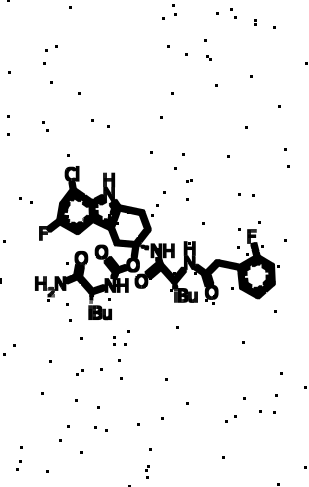 CCC(C)[C@H](NC(=O)Cc1ccccc1F)C(=O)N[C@@]1(OC(=O)NC(C(N)=O)[C@@H](C)CC)CCc2[nH]c3c(Cl)cc(F)cc3c2C1